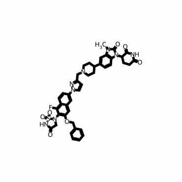 Cn1c(=O)n(C2CCC(=O)NC2=O)c2ccc(C3CCN(Cc4ccn(-c5ccc6c(F)c(N7CC(=O)NS7(=O)=O)c(OCc7ccccc7)cc6c5)n4)CC3)cc21